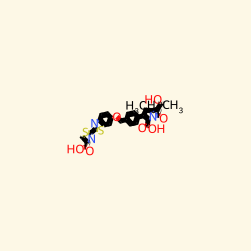 C[C@@H](O)[C@H]1C(=O)N2C(C(=O)O)=C(c3ccc(COc4ccc5nc(C6=N[C@@H](C(=O)O)CS6)sc5c4)cc3)[C@H](C)[C@H]12